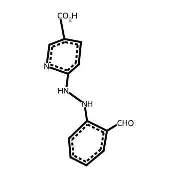 O=Cc1ccccc1NNc1ccc(C(=O)O)cn1